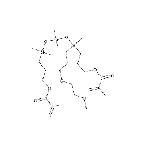 C=C(C)C(=O)OCCC[Si](C)(C)O[Si](C)(C)O[Si](C)(CCCOCCOC)CCCOC(=O)C(=C)C